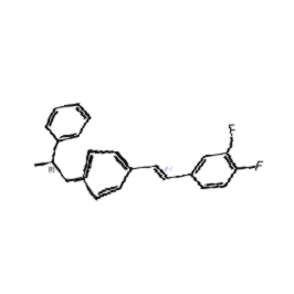 C[C@H](Cc1ccc(/C=C/c2ccc(F)c(F)c2)cc1)c1ccccc1